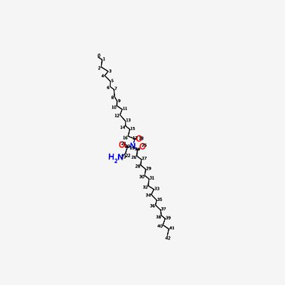 CCCCCCCCCCCCCCCCCC(=O)N(C(=O)CN)C(=O)CCCCCCCCCCCCCCCCC